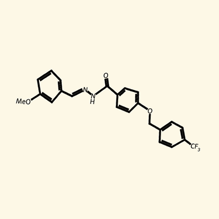 COc1cccc(/C=N/NC(=O)c2ccc(OCc3ccc(C(F)(F)F)cc3)cc2)c1